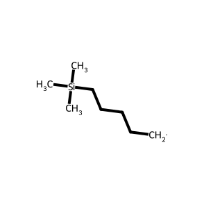 [CH2]CCCC[Si](C)(C)C